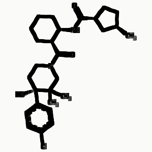 C[C@@H]1CC[C@H](C(=O)N[C@@H]2CCCC[C@@H]2C(=O)N2CC[C@](O)(c3ccc(Cl)cc3)C(C)(C)C2)C1